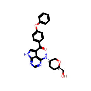 O=C(c1ccc(Oc2ccccc2)cc1)c1c[nH]c2ncnc(N[C@H]3CC[C@H](CO)OC3)c12